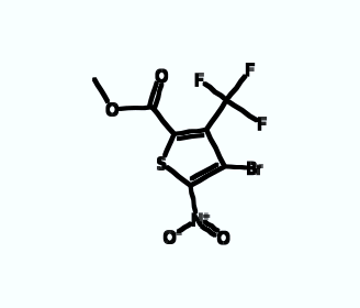 COC(=O)c1sc([N+](=O)[O-])c(Br)c1C(F)(F)F